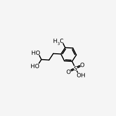 Cc1ccc(S(=O)(=O)O)cc1CCC(O)O